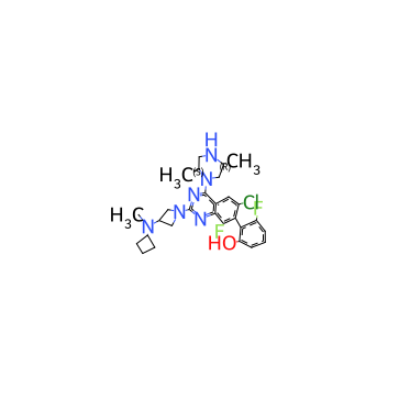 C[C@@H]1CN(c2nc(N3CC(N(C)C4CCC4)C3)nc3c(F)c(-c4c(O)cccc4F)c(Cl)cc23)[C@@H](C)CN1